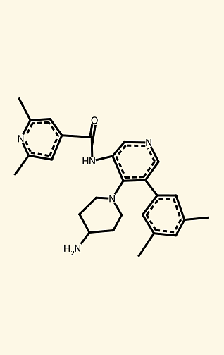 Cc1cc(C)cc(-c2cncc(NC(=O)c3cc(C)nc(C)c3)c2N2CCC(N)CC2)c1